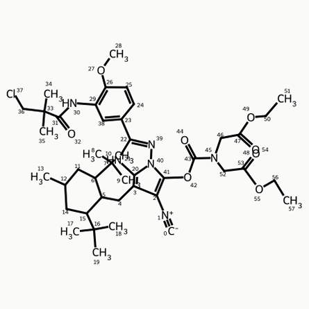 [C-]#[N+]c1c(CC2C(C(C)(C)C)CC(C)CC2C(C)(C)C)c2[nH]c(-c3ccc(OC)c(NC(=O)C(C)(C)CCl)c3)nn2c1OC(=O)N(CC(=O)OCC)CC(=O)OCC